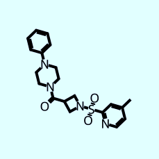 Cc1ccnc(S(=O)(=O)N2CC(C(=O)N3CCN(c4ccccc4)CC3)C2)c1